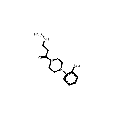 CC(C)(C)c1ccccc1N1CCN(C(=O)CCNC(=O)O)CC1